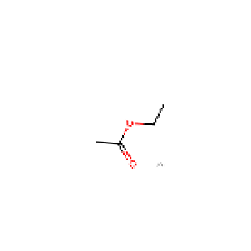 CCOC(C)=O.[Pr]